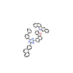 c1ccc(-c2cccc(-c3nc(-c4ccc5c(ccc6ccccc65)c4)nc(-c4ccc5ccc6oc7c(-n8c9cc%10ccccc%10cc9c9ccc%10ccccc%10c98)cccc7c6c5c4)n3)c2)cc1